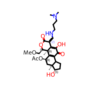 COC[C@H]1OC(=O)/C(=C\NCCCN(C)C)C2=C(O)C(=O)C3=C([C@H](OC(C)=O)C[C@@]4(C)C3CC[C@@H]4O)[C@]21C